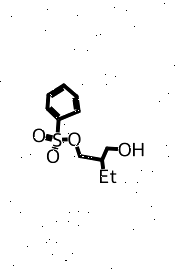 CCC(CO)COS(=O)(=O)c1ccccc1